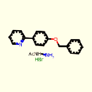 Br.CC(=O)NN.c1ccc(COc2ccc(-c3ccccn3)cc2)cc1